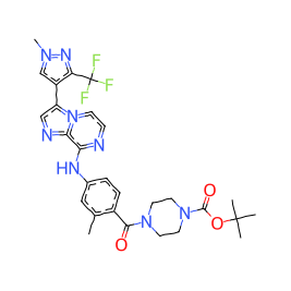 Cc1cc(Nc2nccn3c(-c4cn(C)nc4C(F)(F)F)cnc23)ccc1C(=O)N1CCN(C(=O)OC(C)(C)C)CC1